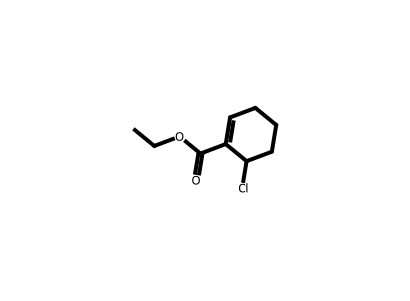 CCOC(=O)C1=CCCCC1Cl